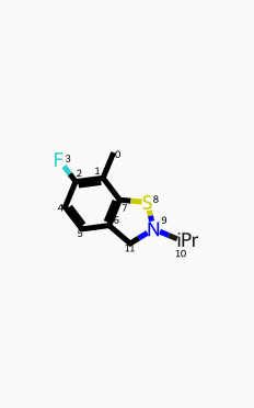 Cc1c(F)ccc2c1SN(C(C)C)C2